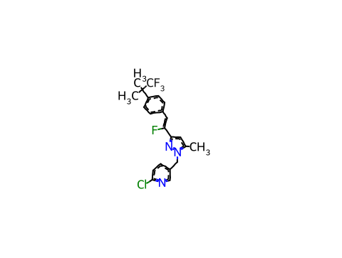 Cc1cc(C(F)=Cc2ccc(C(C)(C)C(F)(F)F)cc2)nn1Cc1ccc(Cl)nc1